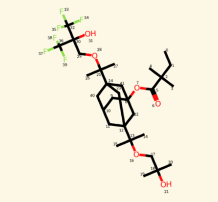 CCC(C)(C)C(=O)OC12CC3CC(C(C)(C)OCC(C)(C)O)(C1)CC(C(C)(C)OCC(O)(C(F)(F)F)C(F)(F)F)(C3)C2